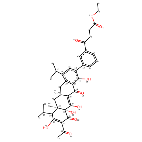 CCOC(=O)CCC(=O)c1cccc(-c2cc(C(C)C)c3c(c2O)C(=O)C2=C(O)[C@@]4(O)C(=O)C(C(C)=O)=C(O)C(C(C)C)[C@@]4(C)C[C@@]2(C)C3)c1